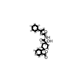 O=C1O[C@]2(CC[C@@](O)(C(=O)Nc3nc(-c4ccccc4)co3)CC2)c2ccncc21